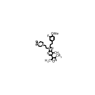 COc1ccc(CCC2=NC3C(=NC=C(c4c(C)noc4C)C3C)N2CCN2CCS(=O)(=O)CC2)cc1F